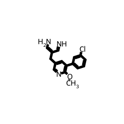 COc1ncc(C/C(C=N)=C/N)cc1-c1cccc(Cl)c1